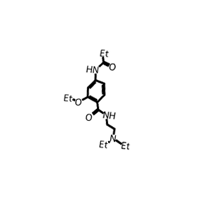 CCOc1cc(NC(=O)CC)ccc1C(=O)NCCN(CC)CC